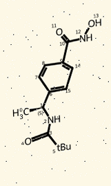 C[C@H](NC(=O)C(C)(C)C)c1ccc(C(=O)NO)cc1